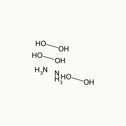 N.N.OO.OO.OO